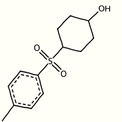 Cc1ccc(S(=O)(=O)C2CCC(O)CC2)cc1